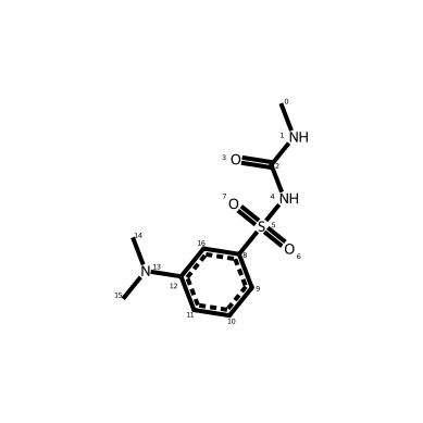 CNC(=O)NS(=O)(=O)c1cccc(N(C)C)c1